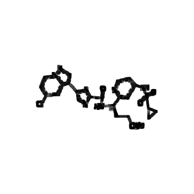 COCC[C@@H](NC(=O)c1ncc(-c2cnn3ccc(Cl)cc23)s1)c1cc(NS(=O)(=O)C2CC2)ccn1